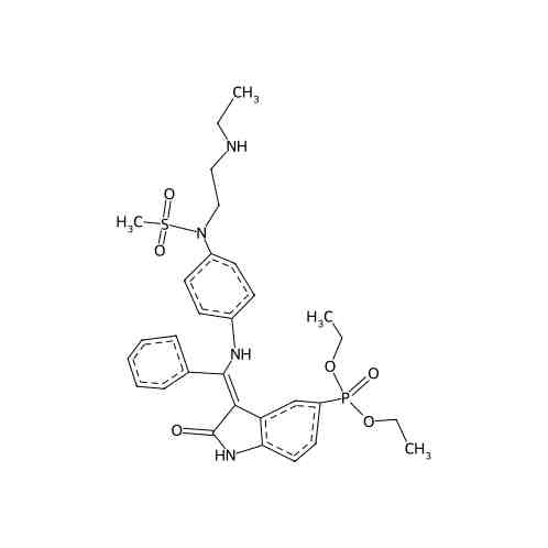 CCNCCN(c1ccc(NC(=C2C(=O)Nc3ccc(P(=O)(OCC)OCC)cc32)c2ccccc2)cc1)S(C)(=O)=O